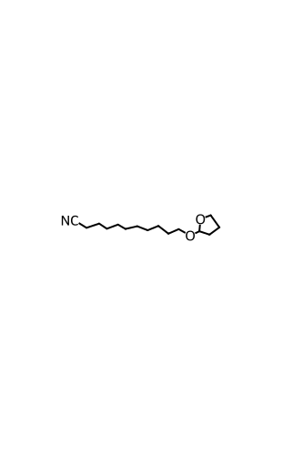 N#CCCCCCCCCCCOC1CCCO1